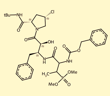 COP(=O)(OC)C(C)C(NC(=O)OCc1ccccc1)C(=O)N[C@@H](Cc1ccccc1)[C@H](O)C(=O)N1C[C@@H](Cl)C[C@H]1C(=O)NC(C)(C)C